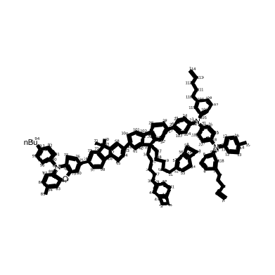 C=CCCCc1cccc(N(c2ccc(C)cc2)c2ccc(N(c3ccc(-c4ccc5c(c4)C(CCCCCc4ccc6c(c4)CC6)(CCCCCc4ccc6c(c4)CC6)c4cc(-c6ccc7c(c6)C(C)(C)c6cc(-c8ccc9c(c8)Oc8cc(C)ccc8N9c8ccc(CCCC)cc8)ccc6-7)ccc4-5)cc3)c3cccc(CCCC=C)c3)cc2)c1